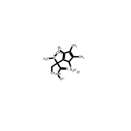 CCC(C(=O)[NH][Ti+2])(C1=C(C)C(C)=C(C)C1C)[SiH](C)C.[Cl-].[Cl-]